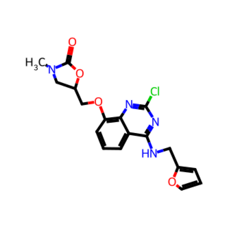 CN1CC(COc2cccc3c(NCc4ccco4)nc(Cl)nc23)OC1=O